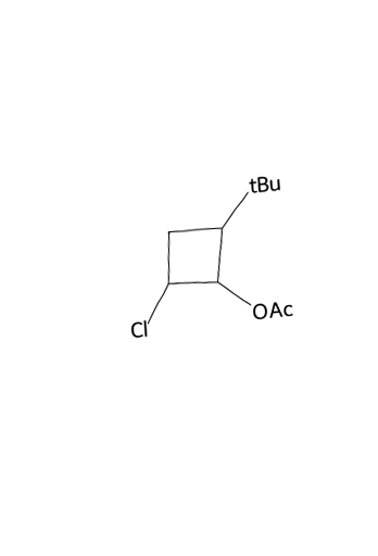 CC(=O)OC1C(Cl)CC1C(C)(C)C